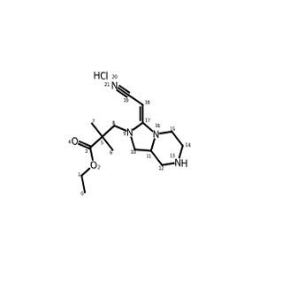 CCOC(=O)C(C)(C)CN1CC2CNCCN2C1=CC#N.Cl